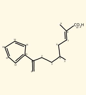 C=C(CCC(C)CC=C(C)C(=O)O)c1ccccc1